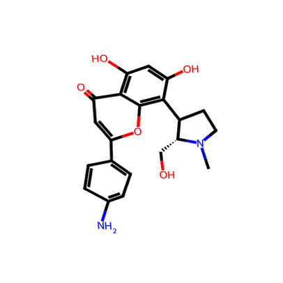 CN1CCC(c2c(O)cc(O)c3c(=O)cc(-c4ccc(N)cc4)oc23)[C@H]1CO